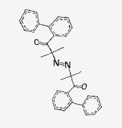 CC(C)(N=NC(C)(C)C(=O)c1ccccc1-c1ccccc1)C(=O)c1ccccc1-c1ccccc1